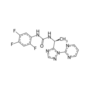 C[C@H](NC(=O)Nc1cc(F)c(F)cc1F)c1ncnn1-c1ncccn1